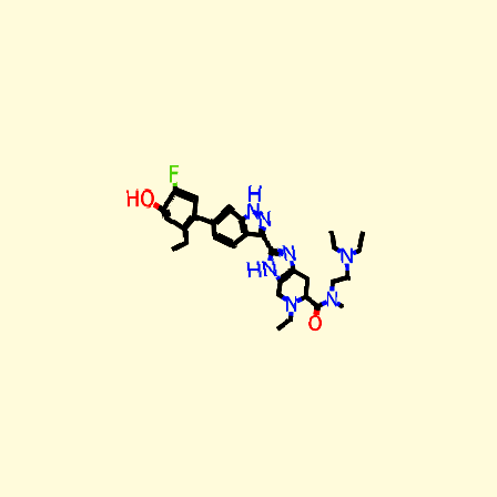 CCc1cc(O)c(F)cc1-c1ccc2c(-c3nc4c([nH]3)CN(CC)C(C(=O)N(C)CCN(CC)CC)C4)n[nH]c2c1